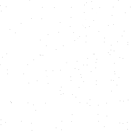 CCOc1cccc(COc2ccc(C(=O)Nc3ccc(N4CCN(C(=O)c5cccs5)CC4)cc3)cn2)c1